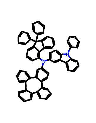 c1ccc(-n2c3ccccc3c3cc(N(c4ccc5c(c4)-c4ccccc4-c4ccccc4-c4ccccc4-5)c4cccc5c4-c4ccccc4C5(c4ccccc4)c4ccccc4)ccc32)cc1